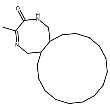 C/C1=N/CC2CCCCCCCCCCCCCCC2CNC1=O